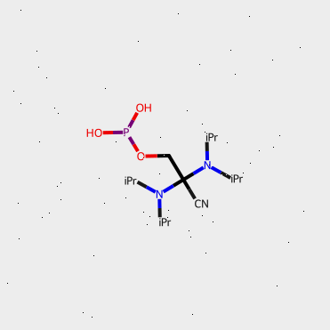 CC(C)N(C(C)C)C(C#N)(COP(O)O)N(C(C)C)C(C)C